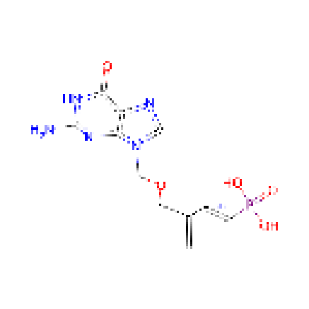 C=C(/C=C/P(=O)(O)O)COCn1cnc2c(=O)[nH]c(N)nc21